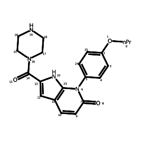 CCCOc1ccc(-n2c(=O)ccc3cc(C(=O)N4CCNCC4)[nH]c32)cc1